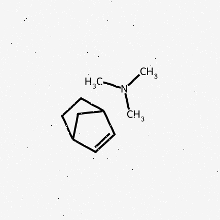 C1=CC2CCC1C2.CN(C)C